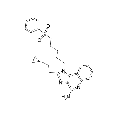 Nc1nc2ccccc2c2c1nc(CCC1CC1)n2CCCCCS(=O)(=O)c1ccccc1